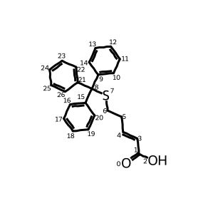 O=C(O)C=CCCSC(c1ccccc1)(c1ccccc1)c1ccccc1